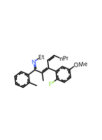 CCC\C=C/C(=C(C)\C(=N/CC)c1ccccc1C)c1cc(OC)ccc1F